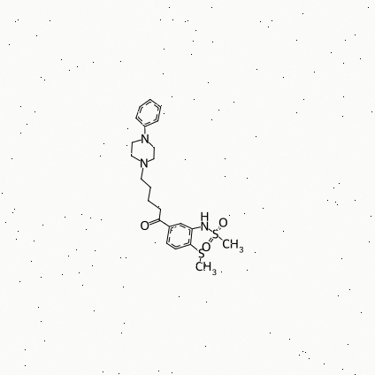 CSc1ccc(C(=O)CCCCN2CCN(c3ccccc3)CC2)cc1NS(C)(=O)=O